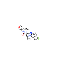 COC1(CNC(=O)c2cc(C#N)n3c(CC4CCC(F)(F)CC4)c(C(F)(F)F)nc3c2)CCOCC1